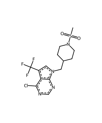 CS(=O)(=O)N1CCC(Cn2cc(C(F)(F)F)c3c(Cl)ncnc32)CC1